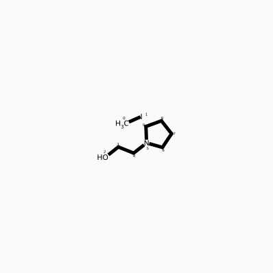 CI.OCCN1CCCC1